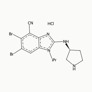 CC(C)n1c(N[C@H]2CCNC2)nc2c(C#N)c(Br)c(Br)cc21.Cl